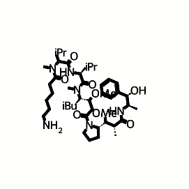 CC[C@H](C)[C@@H](C(CC(=O)N1CCC[C@H]1C(OC)[C@@H](C)C(=O)N[C@H](C)[C@@H](O)c1ccccc1)OC)N(C)C(=O)[C@@H](NC(=O)C(C(C)C)N(C)C(=O)CCCCCN)C(C)C